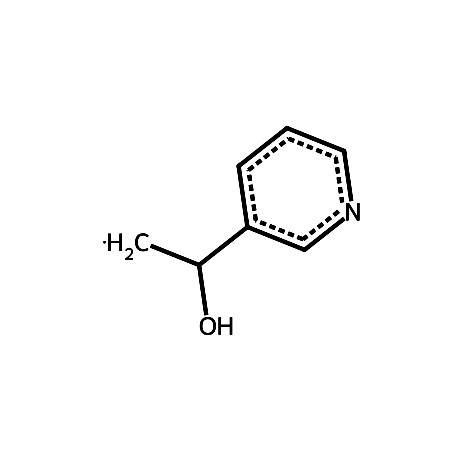 [CH2]C(O)c1cccnc1